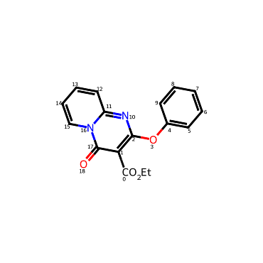 CCOC(=O)c1c(Oc2ccccc2)nc2ccccn2c1=O